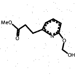 COC(=O)CCc1cccc(OCO)n1